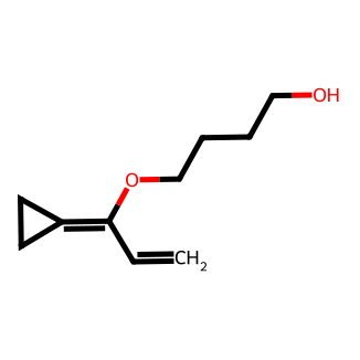 C=CC(OCCCCO)=C1CC1